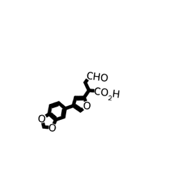 O=CCC(C(=O)O)c1cc(-c2ccc3c(c2)OCO3)co1